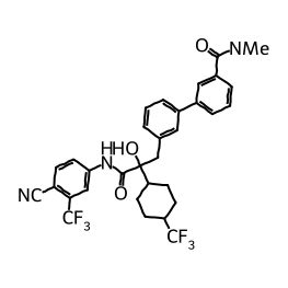 CNC(=O)c1cccc(-c2cccc(CC(O)(C(=O)Nc3ccc(C#N)c(C(F)(F)F)c3)C3CCC(C(F)(F)F)CC3)c2)c1